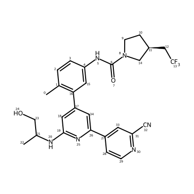 Cc1ccc(NC(=O)N2CC[C@@H](CC(F)(F)F)C2)cc1-c1cc(NC(C)CO)nc(-c2ccnc(C#N)c2)c1